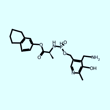 Cc1ncc(CO[PH](=O)N[C@@H](C)C(=O)Oc2ccc3c(c2)CCCC3)c(CN)c1O